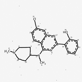 CN1CCC(N(C)c2nc(-c3ccccc3O)nc3cc(Cl)ccc23)CC1